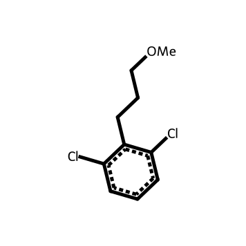 COCCCc1c(Cl)cccc1Cl